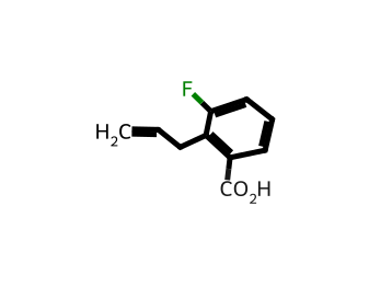 C=CCc1c(F)cccc1C(=O)O